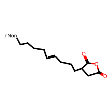 CCCCCCCCCCCCCC=CCCCC1CC(=O)OC1=O